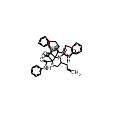 C=CCC1CSC(C(=O)Nc2ccccc2)(C(=O)N2CCCCC2)C(C(=O)Nc2ccccc2)(C(=O)N2CCOCC2)N1C(=O)Nc1ccccc1